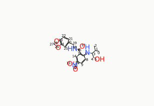 CC(C)C(CO)Nc1ccc([N+](=O)[O-])cc1C(=O)NCc1ccc2c(c1)OCO2